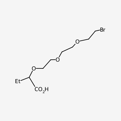 CCC(OCCOCCOCCBr)C(=O)O